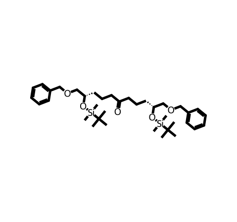 CC(C)(C)[Si](C)(C)O[C@H](CCCC(=O)CCC[C@@H](COCc1ccccc1)O[Si](C)(C)C(C)(C)C)COCc1ccccc1